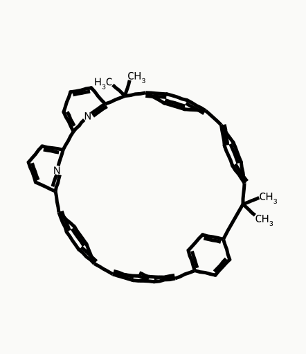 CC1(C)c2ccc(cc2)-c2ccc(cc2)-c2ccc(cc2)-c2cccc(n2)-c2cccc(n2)C(C)(C)c2ccc(cc2)-c2ccc1cc2